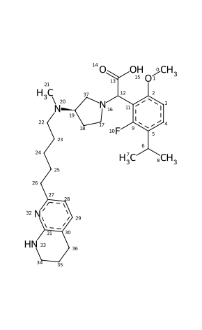 COc1ccc(C(C)C)c(F)c1C(C(=O)O)N1CC[C@@H](N(C)CCCCCc2ccc3c(n2)NCCC3)C1